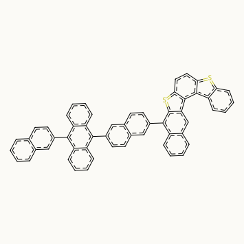 c1ccc2cc(-c3c4ccccc4c(-c4ccc5cc(-c6c7ccccc7cc7c6sc6ccc8sc9ccccc9c8c67)ccc5c4)c4ccccc34)ccc2c1